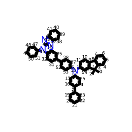 CC1(C)c2ccccc2-c2ccc(N(c3ccc(-c4ccccc4)cc3)c3ccc(-c4ccc5c(c4)n4c6ccccc6nc4n5-c4ccccc4)cc3)cc21